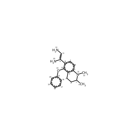 CC1CCc2c(ccc(/C(N)=C/N)c2Oc2ccccc2)N1C